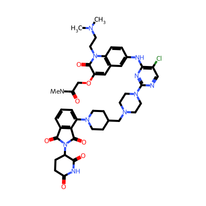 CNC(=O)COc1cc2cc(Nc3nc(N4CCN(CC5CCN(c6cccc7c6C(=O)N(C6CCC(=O)NC6=O)C7=O)CC5)CC4)ncc3Cl)ccc2n(CCN(C)C)c1=O